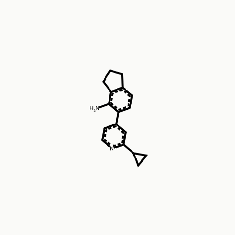 Nc1c(-c2ccnc(C3CC3)c2)ccc2c1CCC2